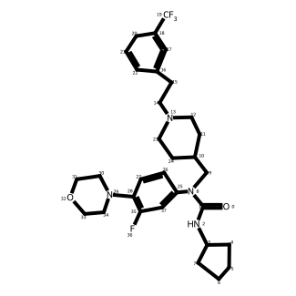 O=C(NC1CCCC1)N(CC1CCN(CCC2=C=C(C(F)(F)F)CC=C2)CC1)c1ccc(N2CCOCC2)c(F)c1